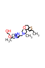 CCc1cc2c(s1)CCO[C@@]21CCN(Cc2cn(CC(C)(C)OCCO)nn2)[C@@H](C)C1